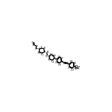 C=CCC[C@H]1CC[C@H](CC[C@H]2CC[C@H](c3ccc(C#Cc4ccc(Br)cc4)cc3)CC2)CC1